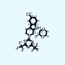 FC(F)(F)c1nc(N2CCc3c([nH]c4ccc(Cl)cc34)[C@@H]2C[C@H]2COCCO2)nc(C(F)(F)F)n1